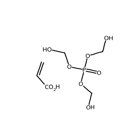 C=CC(=O)O.O=P(OCO)(OCO)OCO